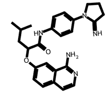 CC(C)CC(Oc1ccc2ccnc(N)c2c1)C(=O)Nc1ccc(N2CCCC2=N)cc1